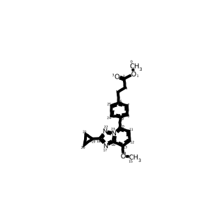 COC(=O)CCc1ccc(-c2ccc(OC)c3nc(C4CC4)nn23)cc1